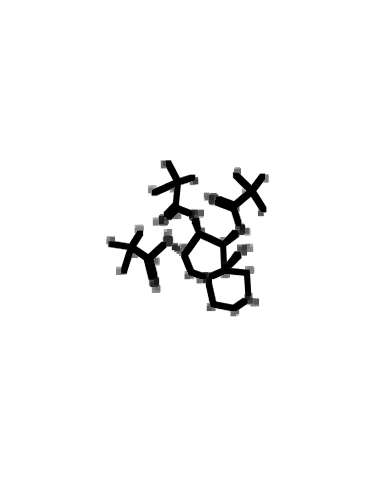 CC(C)(C)C(=O)O[C@@H]1[C@H](OC(=O)C(C)(C)C)[C@@H](OC(=O)C(C)(C)C)CN2CCSC[C@@H]12